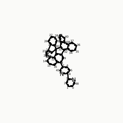 c1ccc(-c2ccc(-c3cc4c(c5ccccc35)C3(c5ccccc5-c5ccccc53)c3c-4c4ccccc4c4ccccc34)cn2)nc1